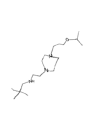 CC(C)OCCN1CCN(CCNCC(C)(C)C)CC1